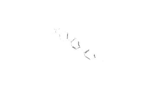 CCCCCC(C)C1CC=C(c2ccc(-c3ccc(C(=O)O)cc3)cc2)CC1